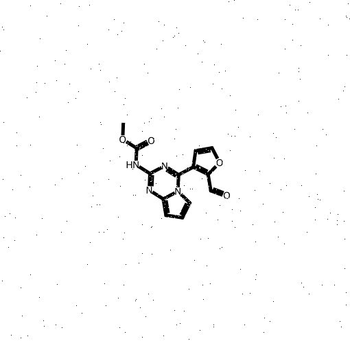 COC(=O)Nc1nc(-c2ccoc2C=O)n2cccc2n1